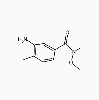 CON(C)C(=O)c1ccc(C)c(N)c1